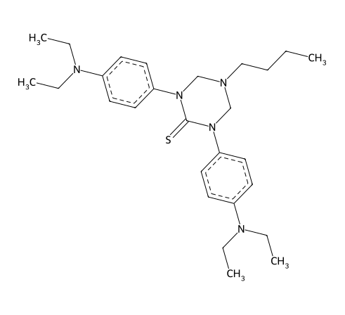 CCCCN1CN(c2ccc(N(CC)CC)cc2)C(=S)N(c2ccc(N(CC)CC)cc2)C1